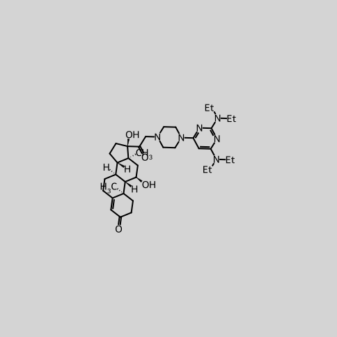 CCN(CC)c1cc(N2CCN(CC(=O)[C@@]3(O)CC[C@H]4[C@@H]5CCC6=CC(=O)CC[C@]6(C)[C@H]5[C@H](O)C[C@@]43C)CC2)nc(N(CC)CC)n1